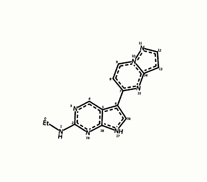 CCNc1ncc2c(-c3ccn4nccc4n3)c[nH]c2n1